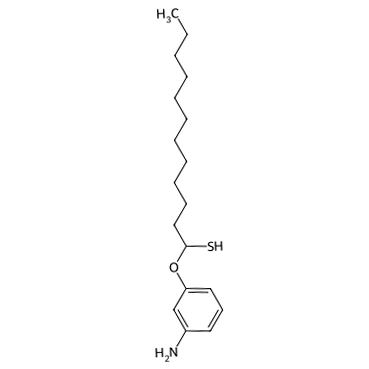 CCCCCCCCCCCC(S)Oc1cccc(N)c1